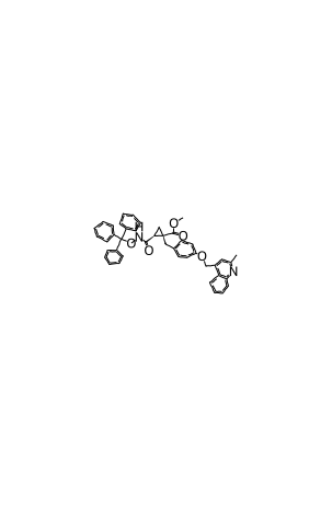 COC(=O)[C@@]1(Cc2ccc(OCc3cc(C)nc4ccccc34)cc2)C[C@@H]1C(=O)NOC(c1ccccc1)(c1ccccc1)c1ccccc1